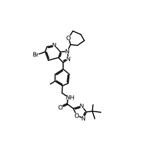 Cc1cc(-c2nn(C3CCCCO3)c3ncc(Br)cc23)ccc1CNC(=O)c1nc(C(C)(C)C)no1